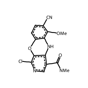 CNC(=O)c1cnc(Cl)c2c1Nc1c(ccc(C#N)c1OC)O2